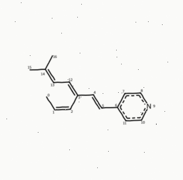 C\C=C/C(/C=C/c1ccncc1)=C\C=C(C)C